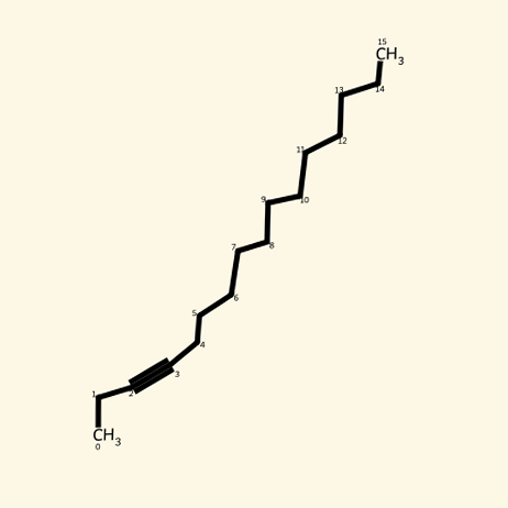 C[CH]C#CCCCCCCCCCCCC